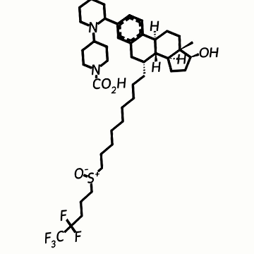 C[C@]12CC[C@@H]3c4ccc(C5CCCCN5C5CCN(C(=O)O)CC5)cc4C[C@@H](CCCCCCCCC[S+]([O-])CCCC(F)(F)C(F)(F)F)[C@H]3[C@@H]1CC[C@@H]2O